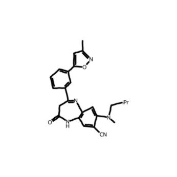 Cc1cc(-c2cccc(C3=Nc4cc(N(C)CC(C)C)c(C#N)cc4NC(=O)C3)c2)on1